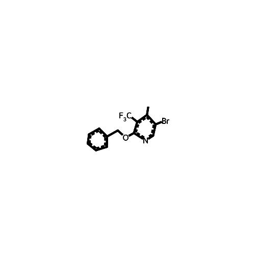 Cc1c(Br)cnc(OCc2ccccc2)c1C(F)(F)F